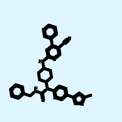 Cn1cc(-c2ccc(N(C(=O)NCc3ccccc3)C3CCC(Nc4ncc(C#N)c(-c5cccnc5)n4)CC3)nc2)cn1